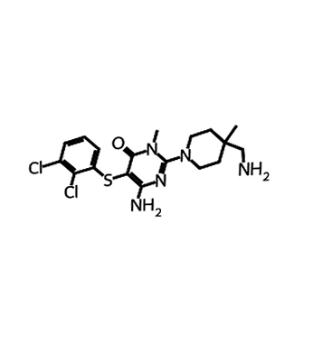 Cn1c(N2CCC(C)(CN)CC2)nc(N)c(Sc2cccc(Cl)c2Cl)c1=O